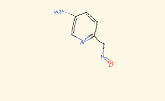 Nc1ccc(CN=O)nc1